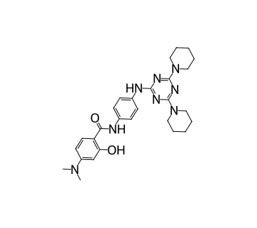 CN(C)c1ccc(C(=O)Nc2ccc(Nc3nc(N4CCCCC4)nc(N4CCCCC4)n3)cc2)c(O)c1